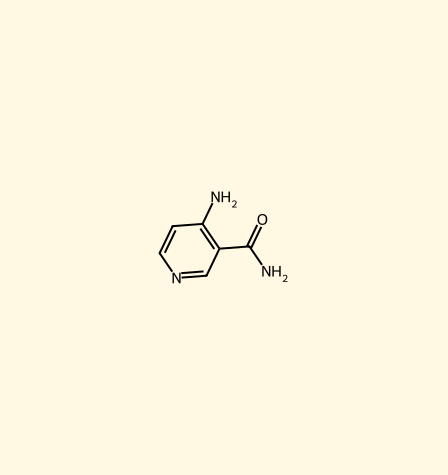 NC(=O)c1cnccc1N